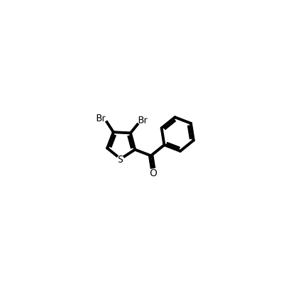 O=C(c1ccccc1)c1scc(Br)c1Br